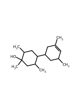 CC1=CC(C)CC(C2CC(C)C(C)(O)CC2C)C1